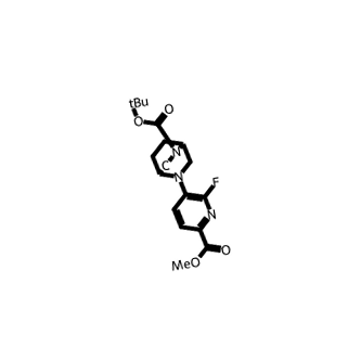 COC(=O)c1ccc(N2CC3CCC2CN3C(=O)OC(C)(C)C)c(F)n1